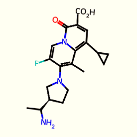 Cc1c(N2CC[C@@H](C(C)N)C2)c(F)cn2c(=O)c(C(=O)O)cc(C3CC3)c12